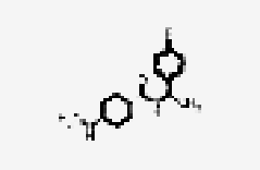 CN[C@H]1CC[C@H](C(=O)N[C@H](C)c2ccc(F)cc2)CC1